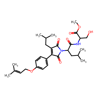 COC(=O)C(CO)NC(=O)C(CC(C)C)N1C(=O)C(CC(C)C)=C(c2ccc(OCC=C(C)C)cc2)C1=O